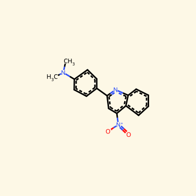 CN(C)c1ccc(-c2cc([N+](=O)[O-])c3ccccc3n2)cc1